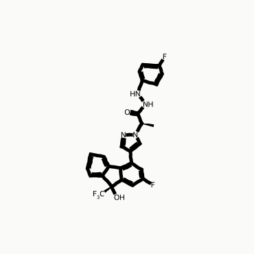 C[C@H](C(=O)NNc1ccc(F)cc1)n1cc(-c2cc(F)cc3c2-c2ccccc2[C@]3(O)C(F)(F)F)cn1